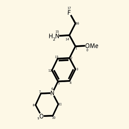 COC(c1ccc(N2CCOCC2)cc1)C(N)CF